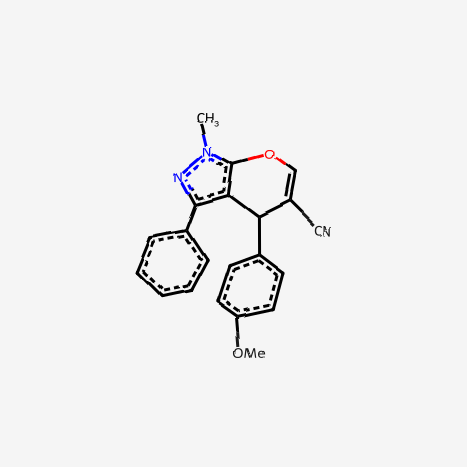 COc1ccc(C2C(C#N)=COc3c2c(-c2ccccc2)nn3C)cc1